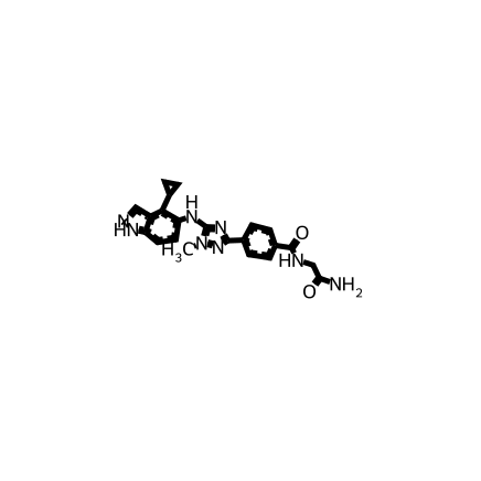 Cn1nc(-c2ccc(C(=O)NCC(N)=O)cc2)nc1Nc1ccc2[nH]ncc2c1C1CC1